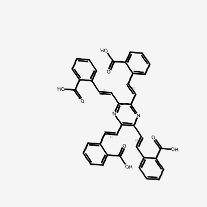 O=C(O)c1ccccc1/C=C/c1nc(/C=C/c2ccccc2C(=O)O)c(/C=C/c2ccccc2C(=O)O)nc1/C=C/c1ccccc1C(=O)O